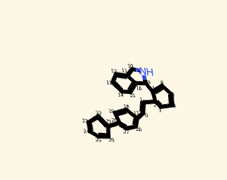 C(=Cc1ccccc1C1NCc2ccccc21)c1ccc(-c2ccccc2)cc1